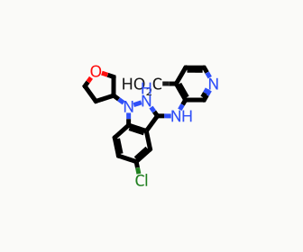 O=C(O)c1ccncc1NC1NN(C2CCOC2)c2ccc(Cl)cc21